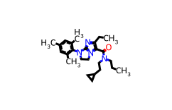 CCCN(CCC1CC1)C(=O)c1c(CC)nc2n1CCN2c1c(C)cc(C)cc1C